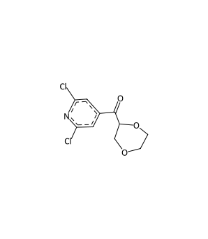 O=C(c1cc(Cl)nc(Cl)c1)C1COCCO1